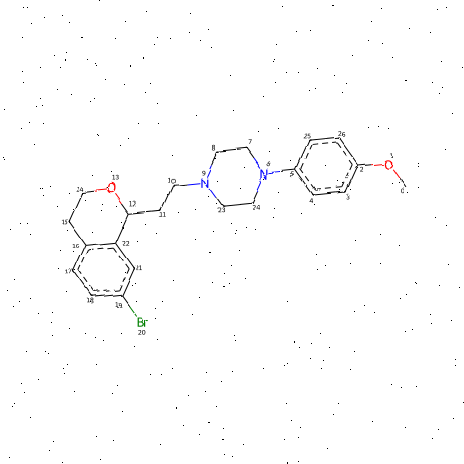 COc1ccc(N2CCN(CCC3OCCc4ccc(Br)cc43)CC2)cc1